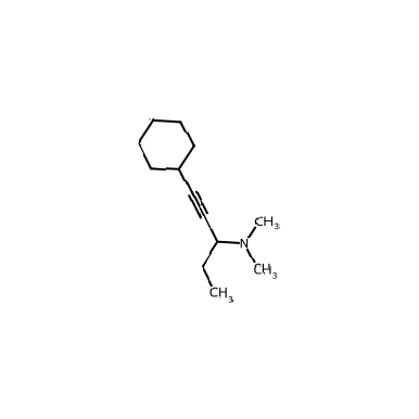 CCC(C#CC1CC[CH]CC1)N(C)C